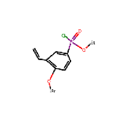 C=Cc1cc(P(=O)(Cl)OCC)ccc1OC(C)C